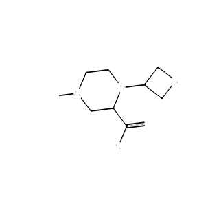 NC(=O)C1CN(C(=O)O)CCN1C1CNC1